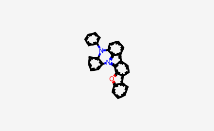 c1ccc(N2c3ccccc3-n3c4c2cccc4c2ccc4c5ccccc5oc4c23)cc1